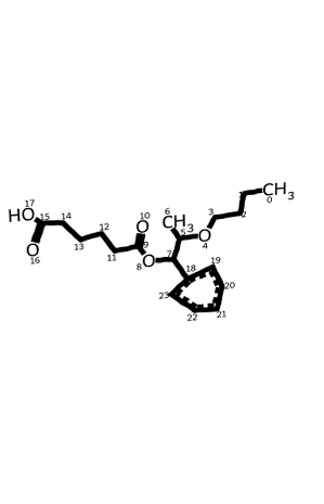 CCCCOC(C)C(OC(=O)CCCCC(=O)O)c1ccccc1